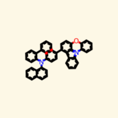 c1ccc(-c2ccccc2N(c2ccc(-c3ccc4c5c3c3ccccc3n5-c3ccccc3O4)cc2)c2cccc3ccccc23)cc1